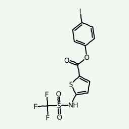 O=C(Oc1ccc(I)cc1)c1ccc(NS(=O)(=O)C(F)(F)F)s1